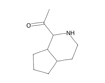 CC(=O)C1NCCC2CCCC21